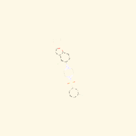 O=C(O)Oc1cc2c(Cl)c(N3CCN(S(=O)(=O)c4cccc(F)c4)CC3)ccc2o1